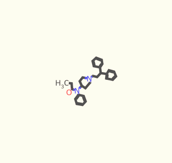 CCC(=O)N(c1ccccc1)C1CCN(CCC(c2ccccc2)c2ccccc2)CC1